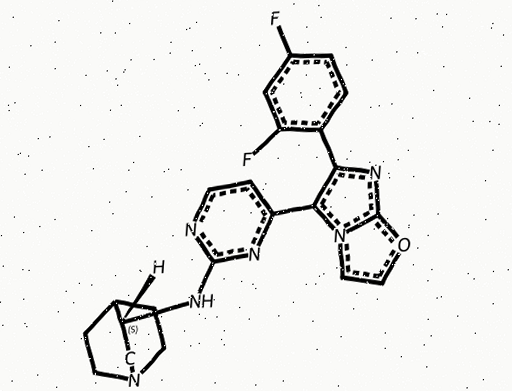 Fc1ccc(-c2nc3occn3c2-c2ccnc(N[C@@H]3CN4CCC3CC4)n2)c(F)c1